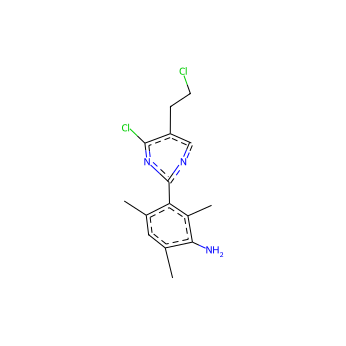 Cc1cc(C)c(-c2ncc(CCCl)c(Cl)n2)c(C)c1N